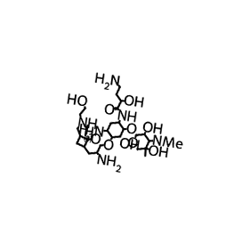 CNC1C(O)C(OC2C(NC(=O)C(O)CCN)CC(N)C(OC3O[C@H]4C(CNCCO)CC4CC3N)C2O)OCC1(C)O